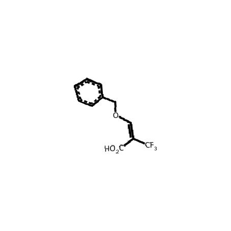 O=C(O)/C(=C\OCc1ccccc1)C(F)(F)F